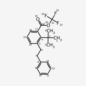 CC(C)(C)c1c(CCc2ccccc2)cccc1C(=O)OC(F)(F)F